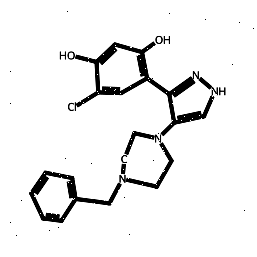 Oc1cc(O)c(-c2n[nH]cc2N2CCN(Cc3ccccc3)CC2)cc1Cl